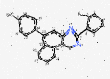 Cc1ccccc1-c1ncc2c(cc(-c3ccc(C(C)C)cc3)c3ccccc32)n1